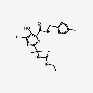 CCNC(=O)NC(C)(C)c1nc(O)c(O)c(C(=O)NCc2ccc(F)cc2)n1